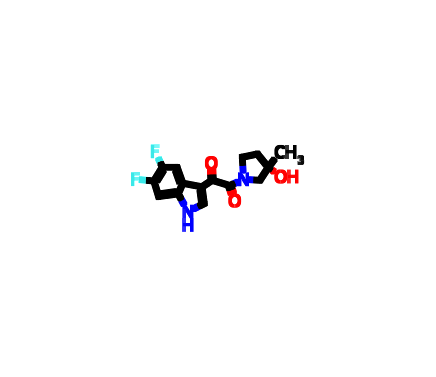 CC1(O)CCN(C(=O)C(=O)c2c[nH]c3cc(F)c(F)cc23)C1